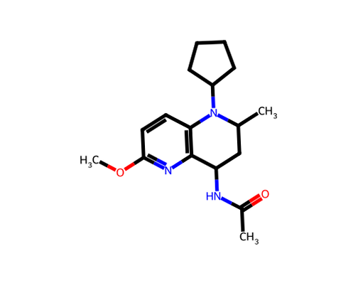 COc1ccc2c(n1)C(NC(C)=O)CC(C)N2C1CCCC1